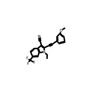 CCn1c(C#Cc2cccc(OC)c2)c(C#N)c2ccc(C(F)(F)F)cc21